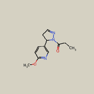 CCC(=O)N1N=CCC1c1ccc(OC)nc1